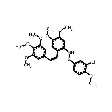 COc1ccc(SNc2cc(OC)c(OC)cc2/C=C\c2cc(OC)c(OC)c(OC)c2)cc1Cl